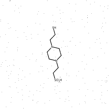 O=S(=O)(O)CCN1CCN(CCS)CC1